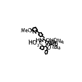 COC(=O)N[C@H](C(=O)N[C@@H](C[C@@H](O)[C@H](Cc1ccc(-c2cccc(OC)n2)cc1)NC(=O)O)C(Cc1ccccc1)c1ccccc1)C(C)(C)C